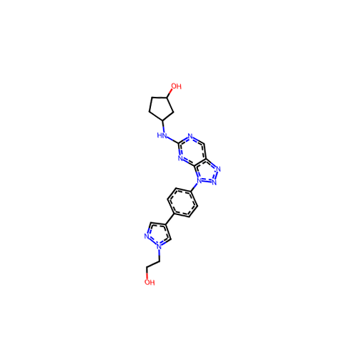 OCCn1cc(-c2ccc(-n3nnc4cnc(NC5CCC(O)C5)nc43)cc2)cn1